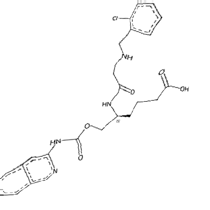 O=C(O)CCC[C@@H](COC(=O)Nc1cc2ccccc2cn1)NC(=O)CNCc1ccccc1Cl